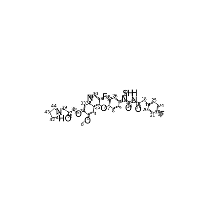 COc1cc2c(Oc3ccc(N(S)C(=O)NC(=O)Cc4ccc(F)cc4)cc3F)ccnc2cc1OCC(O)CN1CCCC1